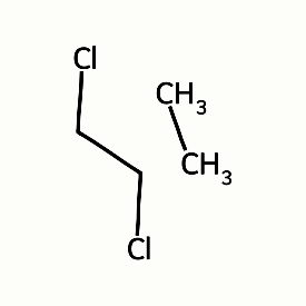 CC.ClCCCl